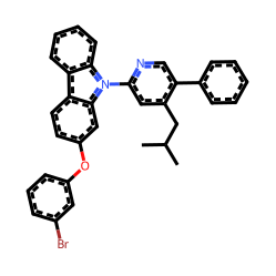 CC(C)Cc1cc(-n2c3ccccc3c3ccc(Oc4cccc(Br)c4)cc32)ncc1-c1ccccc1